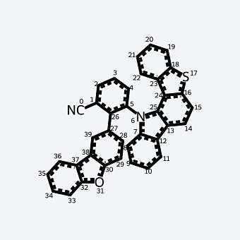 N#Cc1cccc(-n2c3ccccc3c3ccc4sc5ccccc5c4c32)c1-c1ccc2oc3ccccc3c2c1